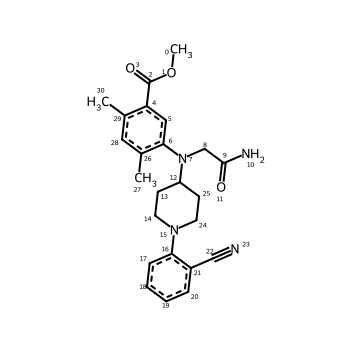 COC(=O)c1cc(N(CC(N)=O)C2CCN(c3ccccc3C#N)CC2)c(C)cc1C